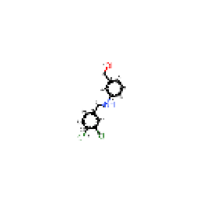 OCc1cccc(NCc2ccc(Cl)c(Cl)c2)c1